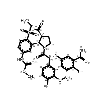 CCS(=O)(=O)c1ccc(NC(=O)OC)cc1[C@H]1[C@@H](C(=O)O)CCN1C(=O)[C@H](Nc1ccc(F)c(C(N)=O)c1)c1ccc(F)c(OC)c1